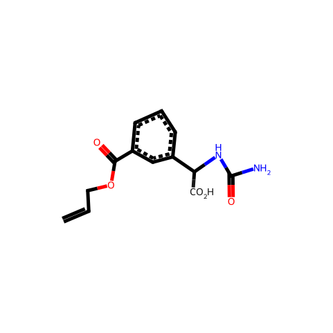 C=CCOC(=O)c1cccc(C(NC(N)=O)C(=O)O)c1